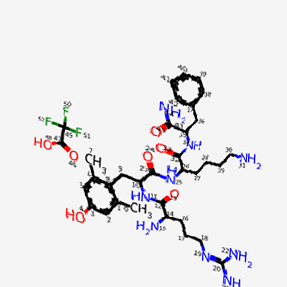 Cc1cc(O)cc(C)c1CC(NC(=O)C(N)CCCN=C(N)N)C(=O)NC(CCCCN)C(=O)NC(Cc1ccccc1)C(N)=O.O=C(O)C(F)(F)F